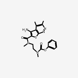 Cc1nnc2sc(C(=O)N(C)CCN(C)C(=O)Oc3ccccc3)c(N)c2c1C